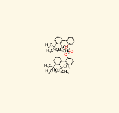 CC(C)(C)c1cccc(-c2ccccc2OC(=O)Oc2ccccc2-c2cccc(C(C)(C)C)c2C(C)(C)C)c1C(C)(C)C